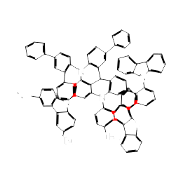 CC(C)(C)c1ccc(N2c3cc(-c4c(-c5cccc6c5sc5ccccc56)cccc4-n4c5ccccc5c5ccccc54)ccc3C3c4cc(-c5ccccc5)ccc4N(c4ccc(-c5ccccc5)cc4-c4ccccc4)c4cc(-n5c6ccc(C#N)cc6c6cc(C(C)(C)C)ccc65)cc2c43)c(-c2ccccc2)c1